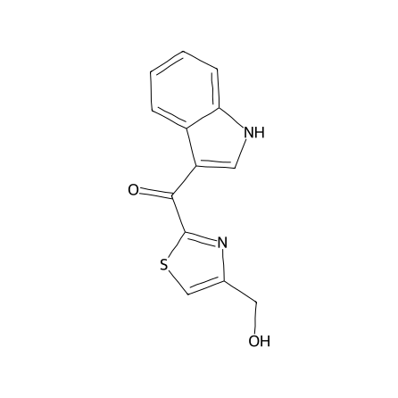 O=C(c1nc(CO)cs1)c1c[nH]c2ccccc12